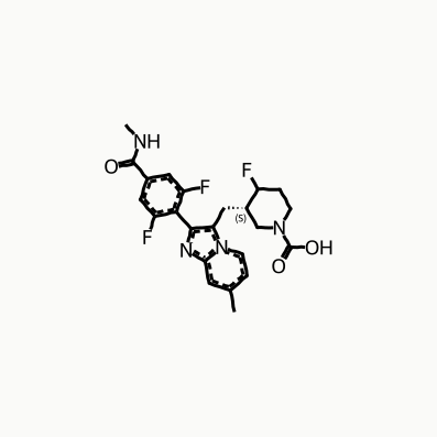 CNC(=O)c1cc(F)c(-c2nc3cc(C)ccn3c2C[C@H]2CN(C(=O)O)CCC2F)c(F)c1